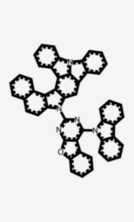 c1ccc2c(c1)ccc1c2c2c3c4ccccc4n4c5ccccc5c(cc2n1-c1nc(-n2c5ccccc5c5ccccc52)c2c(n1)oc1ccccc12)c34